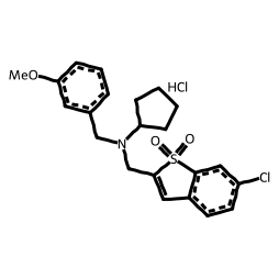 COc1cccc(CN(CC2=Cc3ccc(Cl)cc3S2(=O)=O)C2CCCC2)c1.Cl